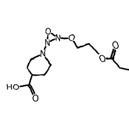 CCC(=O)OCCOn1on1N1CCC(C(=O)O)CC1